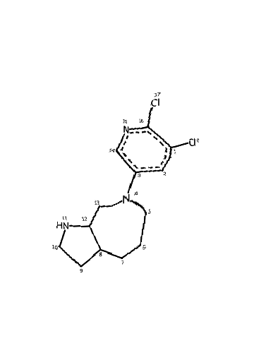 Clc1cc(N2CCCC3CCNC3C2)cnc1Cl